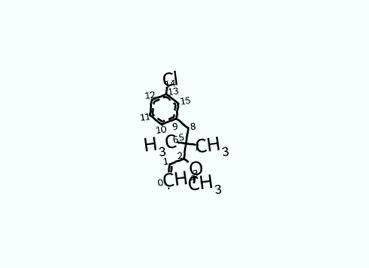 [CH]=CC(OC)C(C)(C)Cc1cccc(Cl)c1